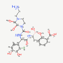 NCCN1CCN(C(=O)NC(C(=O)NC2Cc3cccc(C(=O)O)c3OB2O)c2ccc(O)c(O)c2Cl)C(=O)C1=O